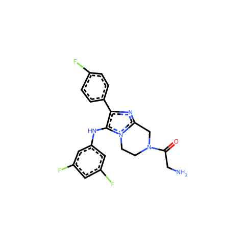 NCC(=O)N1CCn2c(nc(-c3ccc(F)cc3)c2Nc2cc(F)cc(F)c2)C1